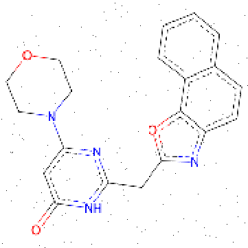 O=c1cc(N2CCOCC2)nc(Cc2nc3ccc4ccccc4c3o2)[nH]1